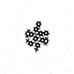 Cc1cc2c(cc1N1c3cc(N(c4cccc(C(C)(C)C)c4)c4cccc(C(C)(C)C)c4)ccc3B3c4c(cc5c(oc6ccccc65)c41)-c1c(ccc4c1sc1ccccc14)N3c1ccc3c(c1)C(C)(C)CCC3(C)C)C(C)(C)CCC2(C)C